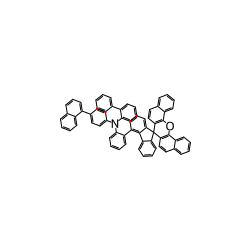 c1ccc(-c2ccccc2N(c2ccc(-c3cccc4ccccc34)cc2)c2ccccc2-c2cccc3c2-c2ccccc2C32c3ccc4ccccc4c3Oc3c2ccc2ccccc32)cc1